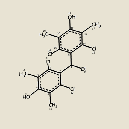 CCC(c1c(Cl)c(C)c(O)c(C)c1Cl)c1c(Cl)c(C)c(O)c(C)c1Cl